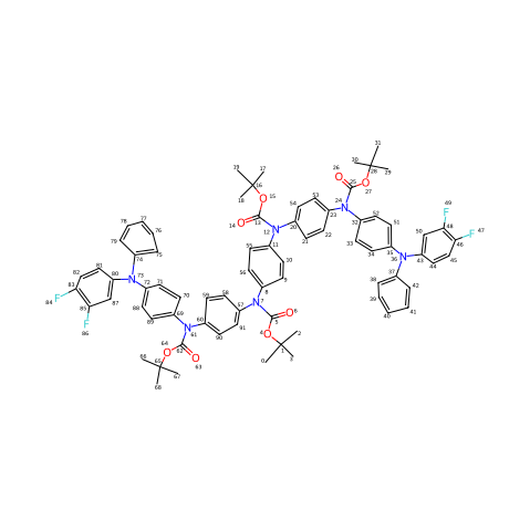 CC(C)(C)OC(=O)N(c1ccc(N(C(=O)OC(C)(C)C)c2ccc(N(C(=O)OC(C)(C)C)c3ccc(N(c4ccccc4)c4ccc(F)c(F)c4)cc3)cc2)cc1)c1ccc(N(C(=O)OC(C)(C)C)c2ccc(N(c3ccccc3)c3ccc(F)c(F)c3)cc2)cc1